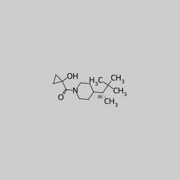 C[C@H](C1CCN(C(=O)C2(O)CC2)CC1)C(C)(C)C